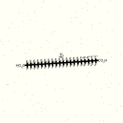 N.O=C(O)C(F)(F)C(F)(F)C(F)(F)C(F)(F)C(F)(F)C(F)(F)C(F)(F)C(F)(F)C(F)(F)C(F)(F)C(F)(F)C(F)(F)C(F)(F)C(F)(F)C(F)(F)C(F)(F)C(F)(F)C(F)(F)C(F)(F)C(F)(F)C(=O)O